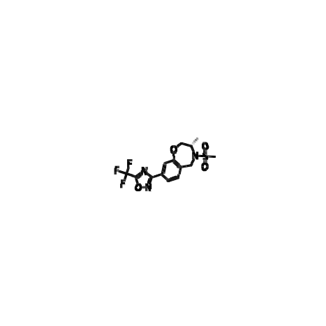 C[C@H]1COc2cc(-c3noc(C(F)(F)F)n3)ccc2CN1S(C)(=O)=O